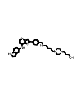 OCCCN1CCN(CCCCNCc2ccc(-c3cc4nccc(Nc5ccc6[nH]ccc6c5)c4s3)cc2)CC1